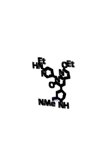 CCNc1ccc(-n2c(=O)c(C3=C/C(=C/NC)C(=N)C=C3)cc3ccc(OCC)nc32)cn1